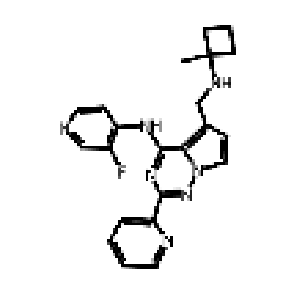 CC1(NCc2ccn3nc(-c4ccccn4)nc(Nc4ccncc4F)c23)CCC1